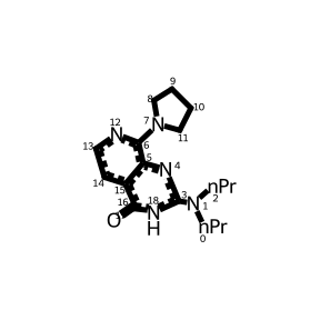 CCCN(CCC)c1nc2c(N3CCCC3)nccc2c(=O)[nH]1